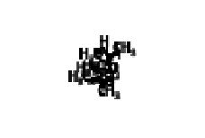 CCC(NC)C(C)[O][Cu][O]C(C)C(CC)NC